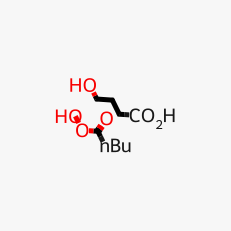 CCCCC(=O)OO.O=C(O)CCCO